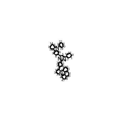 c1ccc(-c2cc(-c3ccc4c5ccccc5n(-c5ccccc5)c4c3)nc(-c3ccc(-c4cccnc4-c4cccc5c4-c4ccccc4CC5)cc3)n2)cc1